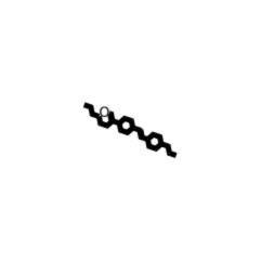 CCCC1CCC(/C=C/C2CCC(C3=COC(CCC)CC3)CC2)CC1